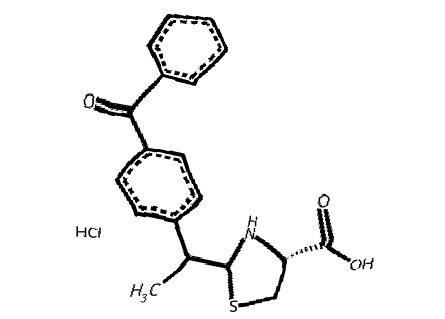 CC(c1ccc(C(=O)c2ccccc2)cc1)C1N[C@H](C(=O)O)CS1.Cl